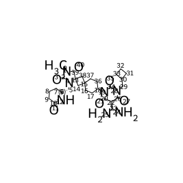 CN1C(=O)N(C[C@H]2CCCC(=O)N2)C2(CC3(CCC(N4C(=O)C(=C(N)N)C(=O)N(CC5CCC5)C4=O)CC3)C2)C1=O